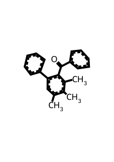 Cc1cc(-c2ccccc2)c(C(=O)c2ccccc2)c(C)c1C